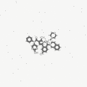 Cc1c(C(=O)N(c2ccccc2)c2cnc(O)nc2)cc(-c2cc(Cl)ccc2C(=O)N2Cc3ccccc3C[C@H]2CN2CCOCC2)n1C